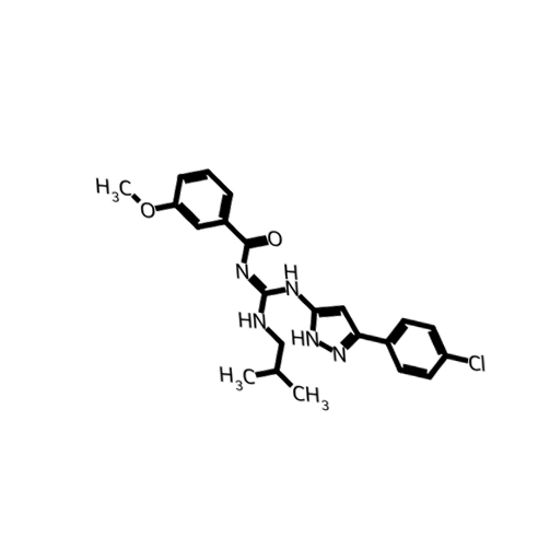 COc1cccc(C(=O)/N=C(/NCC(C)C)Nc2cc(-c3ccc(Cl)cc3)n[nH]2)c1